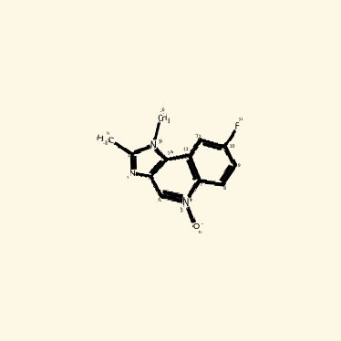 Cc1nc2c[n+]([O-])c3ccc(F)cc3c2n1C